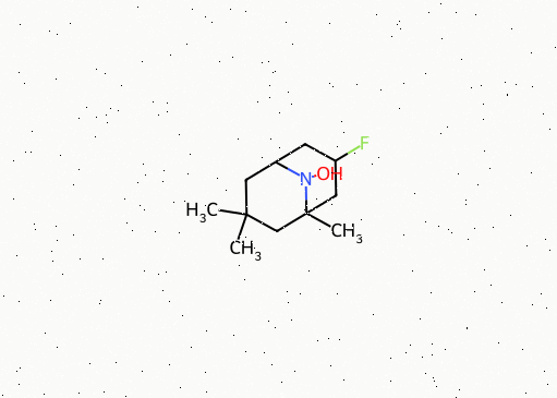 CC1(C)CC2CC(F)CC(C)(C1)N2O